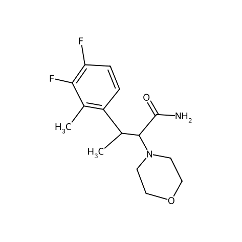 Cc1c(C(C)C(C(N)=O)N2CCOCC2)ccc(F)c1F